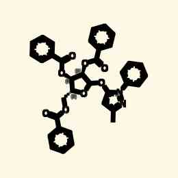 Cc1cc(OC2O[C@H](COC(=O)c3ccccc3)[C@@H](OC(=O)c3ccccc3)[C@H]2OC(=O)c2ccccc2)n(-c2ccccc2)n1